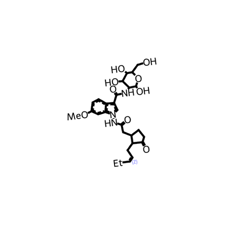 CC/C=C\CC1C(=O)CCC1CC(=O)Nn1cc(C(=O)NC2C(O)OC(CO)C(O)C2O)c2ccc(OC)cc21